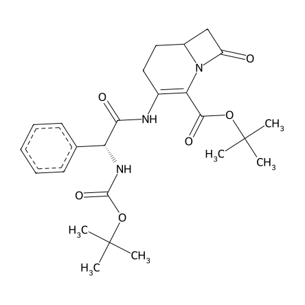 CC(C)(C)OC(=O)N[C@@H](C(=O)NC1=C(C(=O)OC(C)(C)C)N2C(=O)CC2CC1)c1ccccc1